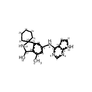 Cc1cc(Nc2ncnc3[nH]ccc23)cc2c1C(O)NC21CCCCC1